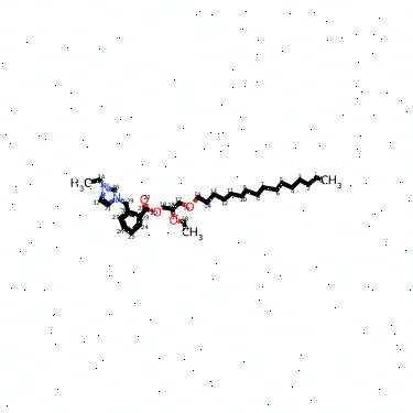 CCCCCCCCCCCCCCCCOCC(COC(=O)c1ccccc1CN1C=CN(CC)C1)OCC